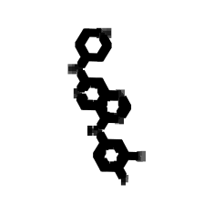 Fc1ccc(Nc2ncnc3cc(NC4CCNCC4)ncc23)cc1Cl